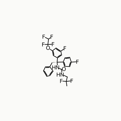 CC(F)(F)CNC(=O)N[C@](Cc1ccccc1)(c1ccc(F)cc1)c1cc(F)cc(OC(F)(F)C(F)F)c1